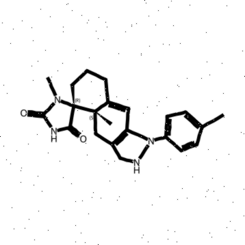 Cc1ccc(N2NCC3=C2C=C2CCC[C@]4(C(=O)NC(=O)N4C)[C@@]2(C)C3)cc1